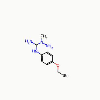 CN(N)C(N)Nc1ccc(OCC(C)(C)C)cc1